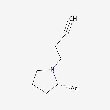 C#CCCN1CCC[C@H]1C(C)=O